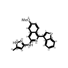 COc1ccc2c(-c3csc4ccccc34)nc(Nc3cc(C)[nH]n3)cc2c1